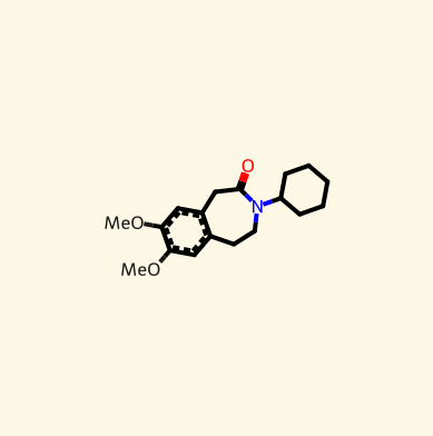 COc1cc2c(cc1OC)CC(=O)N(C1CCCCC1)CC2